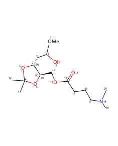 COC(O)C[C@H]1OC(C)(C)O[C@@H]1COC(=O)CCCN(C)C